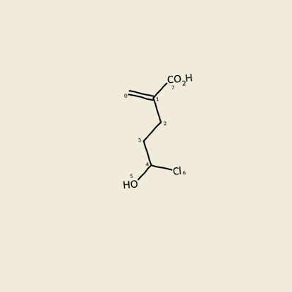 C=C(CCC(O)Cl)C(=O)O